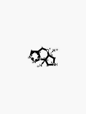 c1nnn2c1CO[C@H]1CNC[C@@H]12